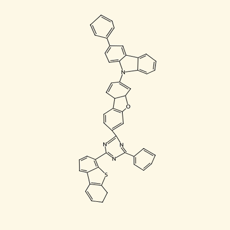 C1=Cc2c(sc3c(-c4nc(-c5ccccc5)nc(-c5ccc6c(c5)OC5C=C(n7c8ccccc8c8cc(-c9ccccc9)ccc87)C=CC65)n4)cccc23)CC1